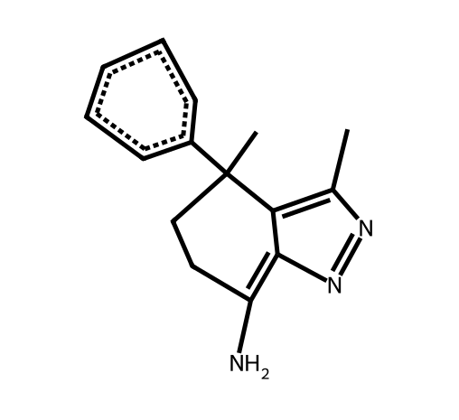 CC1=C2C(=C(N)CCC2(C)c2ccccc2)N=N1